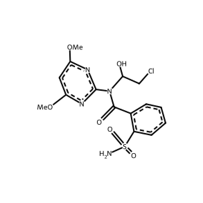 COc1cc(OC)nc(N(C(=O)c2ccccc2S(N)(=O)=O)C(O)CCl)n1